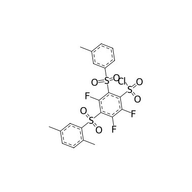 Cc1cccc(S(=O)(=O)c2c(F)c(S(=O)(=O)c3cc(C)ccc3C)c(F)c(F)c2S(=O)(=O)Cl)c1